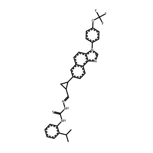 CC(C)c1ccccc1NC(=S)NN=CC1CC1c1ccc2c(ccc3c2ncn3-c2ccc(OC(F)(F)F)cc2)c1